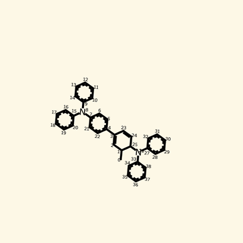 CC1C=C(c2ccc(N(c3ccccc3)c3ccccc3)cc2)C=CC1N(c1ccccc1)c1ccccc1